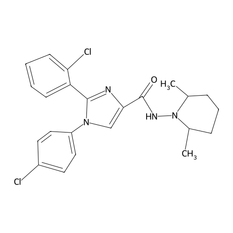 CC1CCCC(C)N1NC(=O)c1cn(-c2ccc(Cl)cc2)c(-c2ccccc2Cl)n1